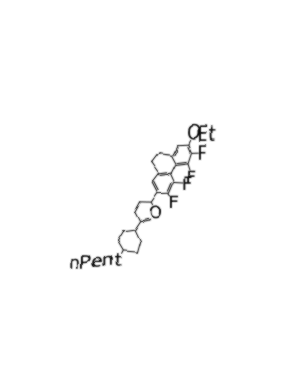 CCCCCC1CCC(C2=COC(c3cc4c(c(F)c3F)-c3c(cc(OCC)c(F)c3F)CC4)CC2)CC1